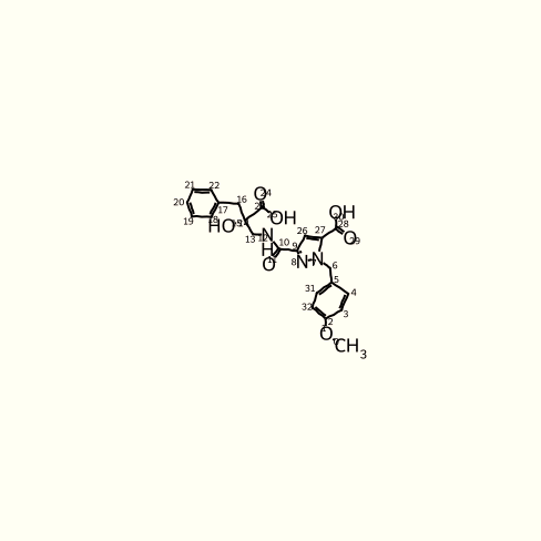 COc1ccc(Cn2nc(C(=O)NC[C@@](O)(Cc3ccccc3)C(=O)O)cc2C(=O)O)cc1